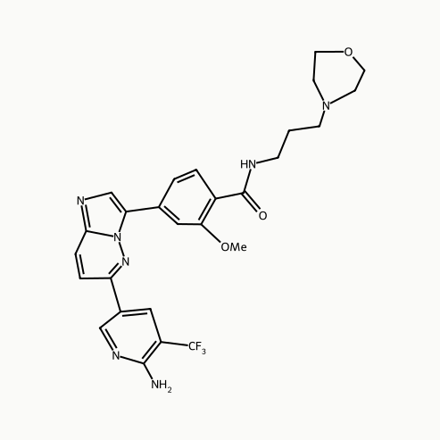 COc1cc(-c2cnc3ccc(-c4cnc(N)c(C(F)(F)F)c4)nn23)ccc1C(=O)NCCCN1CCOCC1